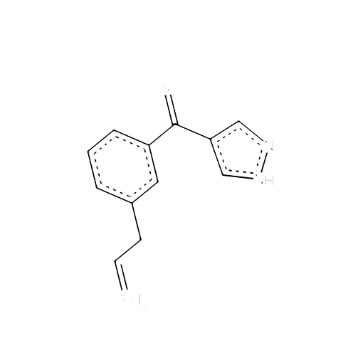 C=CCc1cccc(C(=S)c2cn[nH]c2)c1